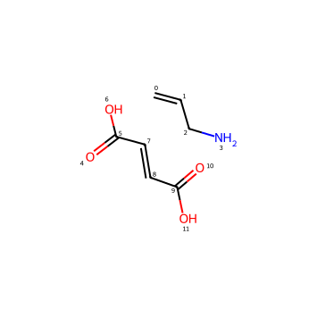 C=CCN.O=C(O)/C=C/C(=O)O